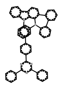 c1ccc(-c2nc(-c3ccccc3)nc(-c3ccc(-c4cccc(N5c6ccccc6-c6ccccc6-c6ccc7c8ccccc8n(-c8ccccc8)c7c65)c4)cc3)n2)cc1